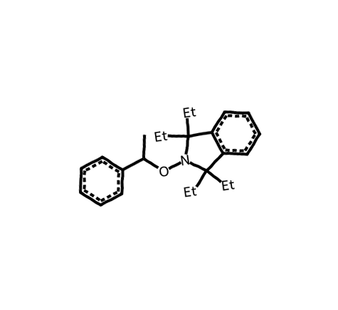 CCC1(CC)c2ccccc2C(CC)(CC)N1OC(C)c1ccccc1